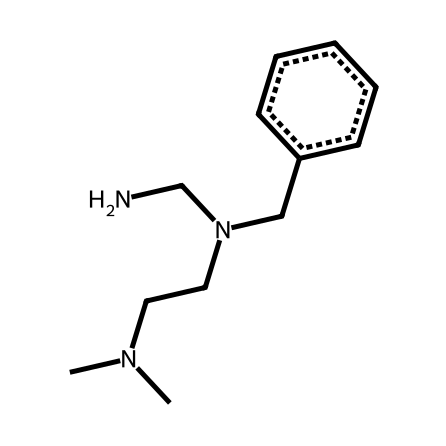 CN(C)CCN(CN)Cc1ccccc1